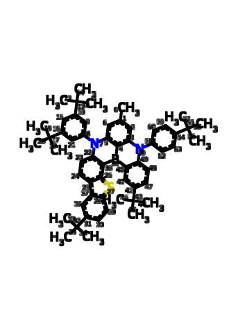 Cc1cc2c3c(c1)N(c1cc(C(C)(C)C)cc(C(C)(C)C)c1)c1ccc4c(sc5ccc(C(C)(C)C)cc54)c1B3c1cc(C(C)(C)C)ccc1N2c1ccc(C(C)(C)C)cc1